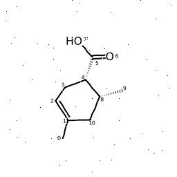 CC1=CC[C@H](C(=O)O)[C@H](C)C1